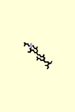 C/C=C(\CCC(CCC(C)C)CC(C)CCCC(CCC(C)CC)CC(C)CC[N+](C)(C)CCC(C)C)C(C)CC